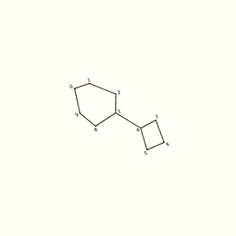 C1CCC(C2CCC2)CC1